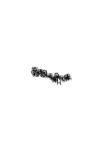 CC(=O)OC(C(=O)Nc1ccn(CC[C@H](F)Cn2cc(C(=O)NCc3cccc(OC(F)(F)F)c3)nn2)c(=O)c1F)c1ccccc1